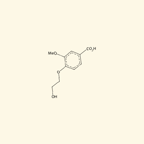 COc1cc(C(=O)O)ccc1OCCO